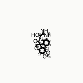 N=C(N)C(O)N1C(=O)C2(COc3cc4c(cc32)OCO4)c2c(Cl)cccc21